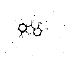 CCC(c1cccc(C#N)c1C#N)c1cccc(C#N)c1C#N